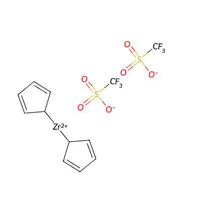 C1=C[CH]([Zr+2][CH]2C=CC=C2)C=C1.O=S(=O)([O-])C(F)(F)F.O=S(=O)([O-])C(F)(F)F